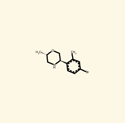 Cc1cc(Br)ccc1[C@@H]1CO[C@@H](C)CN1